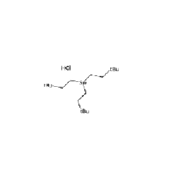 CC(C)(C)C[CH2][Sn]([CH2]CC(C)(C)C)[CH2]CC(C)(C)C.Cl